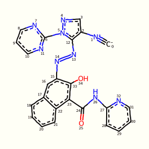 [C-]#[N+]c1cnn(-c2ncccn2)c1/N=N/c1cc2ccccc2c(C(=O)Nc2ccccn2)c1O